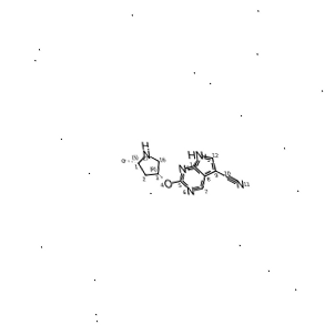 C[C@H]1C[C@@H](Oc2ncc3c(C#N)c[nH]c3n2)CN1